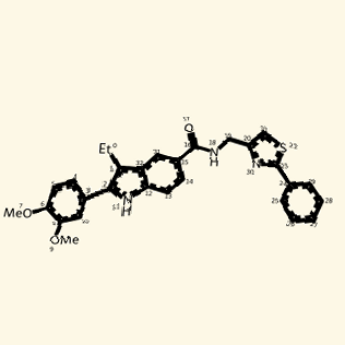 CCc1c(-c2ccc(OC)c(OC)c2)[nH]c2ccc(C(=O)NCc3csc(-c4ccccc4)n3)cc12